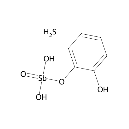 S.[O]=[Sb]([OH])([OH])[O]c1ccccc1O